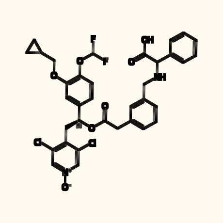 O=C(Cc1cccc(CNC(C(=O)O)c2ccccc2)c1)O[C@@H](Cc1c(Cl)c[n+]([O-])cc1Cl)c1ccc(OC(F)F)c(OCC2CC2)c1